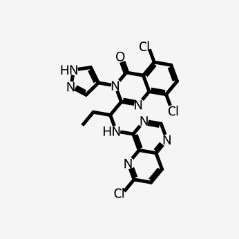 CCC(Nc1ncnc2ccc(Cl)nc12)c1nc2c(Cl)ccc(Cl)c2c(=O)n1-c1cn[nH]c1